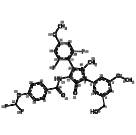 COc1cc(CO)nc(-n2c(=O)c(NC(=O)c3ccc(OC(F)F)cc3)c(-c3c(F)cc(OC)cc3F)n2C)c1